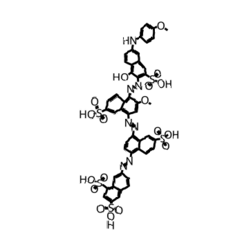 COc1ccc(Nc2ccc3c(O)c(N=Nc4c(OC)cc(N=Nc5ccc(N=Nc6ccc7cc(S(=O)(=O)O)cc(S(=O)(=O)O)c7c6)c6ccc(S(=O)(=O)O)cc56)c5cc(S(=O)(=O)O)ccc45)c(S(=O)(=O)O)cc3c2)cc1